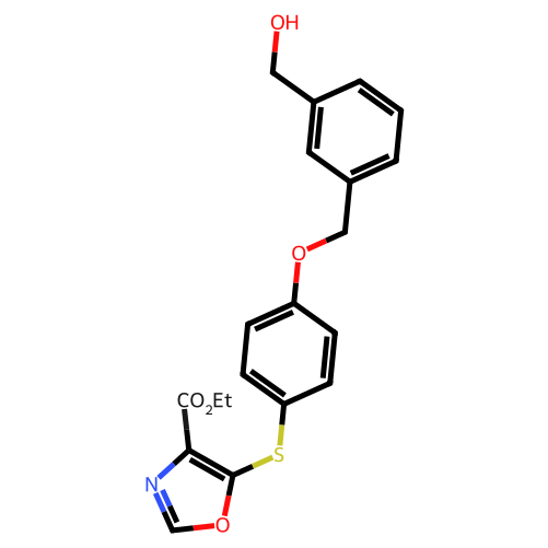 CCOC(=O)c1ncoc1Sc1ccc(OCc2cccc(CO)c2)cc1